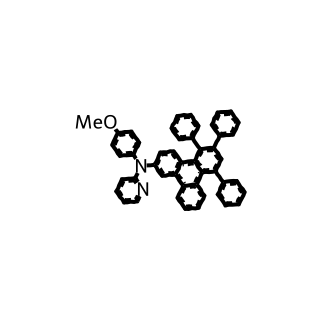 COc1ccc(N(c2ccc3c(c2)c2ccccc2c2c(-c4ccccc4)cc(-c4ccccc4)c(-c4ccccc4)c32)c2ccccn2)cc1